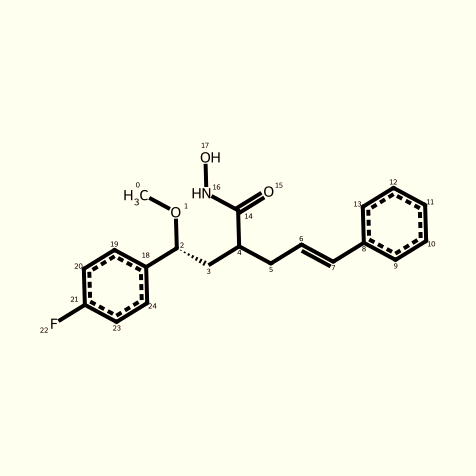 CO[C@H](CC(C/C=C/c1ccccc1)C(=O)NO)c1ccc(F)cc1